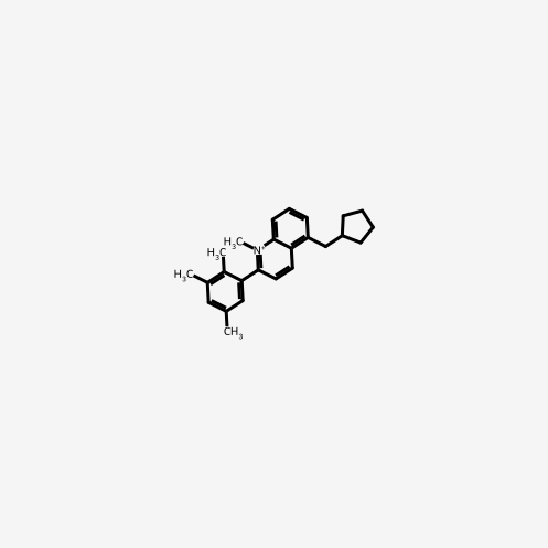 Cc1cc(C)c(C)c(-c2ccc3c(CC4CCCC4)cccc3[n+]2C)c1